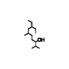 CC=C(CC)CC(C)CCC(O)C(C)C